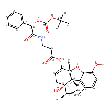 COc1ccc2c3c1O[C@H]1C(OC(=O)CCNC(=O)[C@@H](OC(=O)OC(C)(C)C)c4ccccc4)=CC[C@@]4(O)[C@H](CCC[C@]314)C2